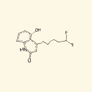 O=c1cc(CCCCC(F)F)c2c(O)cccc2[nH]1